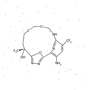 Nc1cc(C(F)(F)F)c2nc1-c1nnc(o1)[C@@](O)(C(F)(F)F)CCCCCCN2